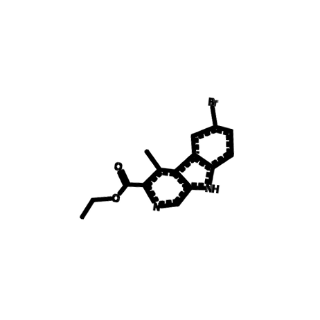 CCOC(=O)c1ncc2[nH]c3ccc(Br)cc3c2c1C